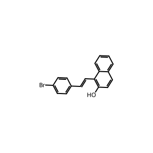 Oc1ccc2ccccc2c1C=Cc1ccc(Br)cc1